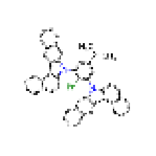 CC(C)c1cc(-n2c3cc4ccccc4cc3c3c4ccccc4ccc32)c(Br)c(-n2c3cc4ccccc4cc3c3c4ccccc4ccc32)c1